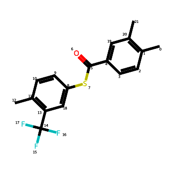 Cc1ccc(C(=O)Sc2ccc(C)c(C(F)(F)F)c2)cc1C